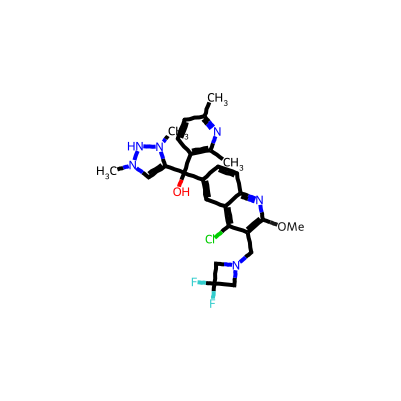 COc1nc2ccc(C(O)(C3=CN(C)NN3C)c3ccc(C)nc3C)cc2c(Cl)c1CN1CC(F)(F)C1